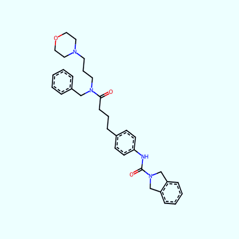 O=C(CCCc1ccc(NC(=O)N2Cc3ccccc3C2)cc1)N(CCCN1CCOCC1)Cc1ccccc1